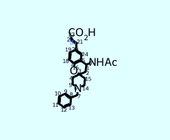 CC(=O)NC1CC2(CCN(Cc3ccccc3)CC2)Oc2ccc(/C=C/C(=O)O)cc21